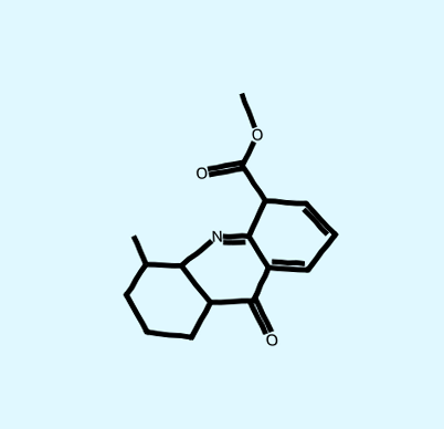 COC(=O)C1C=CC=C2C(=O)C3CCCC(C)C3N=C21